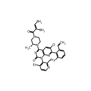 B/C=C(\B)C(=O)N1CCN(c2nc(=O)n(-c3c(CC)ccnc3C(C)C)c3nc(-c4c(F)cccc4C=C)c(Cl)cc23)[C@@H](C)C1